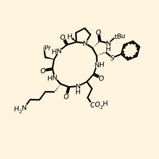 CC(C)C[C@H]1NC(=O)[C@@H]2CCCN2[C@H](C(=O)NC(C)(C)C)[C@H](CSc2ccccc2)NC(=O)C(CCC(=O)O)NC(=O)[C@H](CCCCN)NC1=O